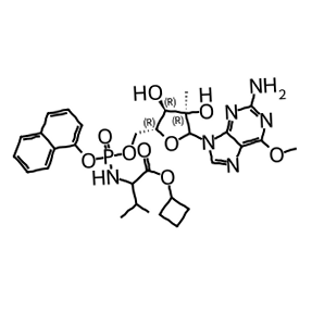 COc1nc(N)nc2c1ncn2C1O[C@H](COP(=O)(NC(C(=O)OC2CCC2)C(C)C)Oc2cccc3ccccc23)[C@@H](O)[C@@]1(C)O